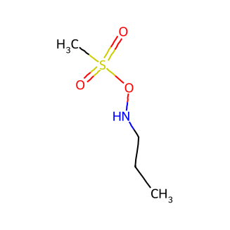 CCCNOS(C)(=O)=O